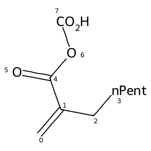 C=C(CCCCCC)C(=O)OC(=O)O